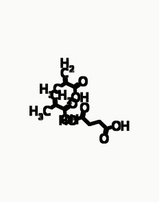 C=C(C)C(=O)O.C=C(C)C(=O)O.O=C(O)CCC(=O)O